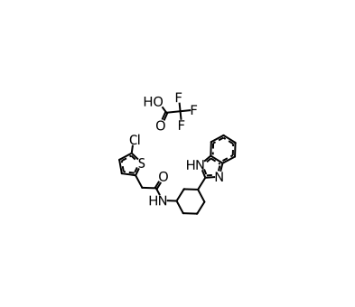 O=C(Cc1ccc(Cl)s1)NC1CCCC(c2nc3ccccc3[nH]2)C1.O=C(O)C(F)(F)F